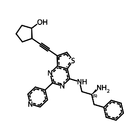 N[C@H](CNc1nc(-c2ccncc2)nc2c(C#CC3CCCC3O)csc12)Cc1ccccc1